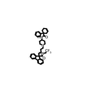 O=C(NC1CCN(CCCCC2(C(=O)NCC(F)(F)F)c3ccccc3-c3ccccc32)CC1)C1(c2ccccc2)CC=CCC1